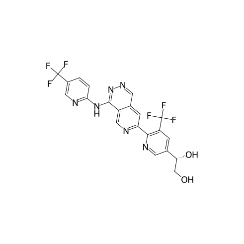 OC[C@@H](O)c1cnc(-c2cc3cnnc(Nc4ccc(C(F)(F)F)cn4)c3cn2)c(C(F)(F)F)c1